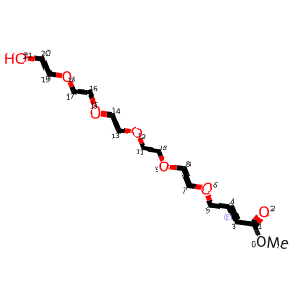 COC(=O)/C=C/COCCOCCOCCOCCOCCO